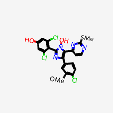 COc1cc(-c2nc(-c3c(Cl)cc(O)cc3Cl)n(O)c2-c2ccnc(SC)n2)ccc1Cl